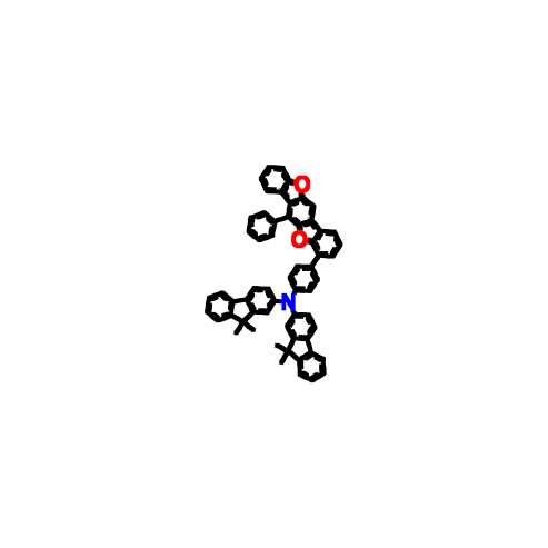 CC1(C)c2ccccc2-c2ccc(N(c3ccc(-c4cccc5c4oc4c(-c6ccccc6)c6c(cc45)oc4ccccc46)cc3)c3ccc4c(c3)C(C)(C)c3ccccc3-4)cc21